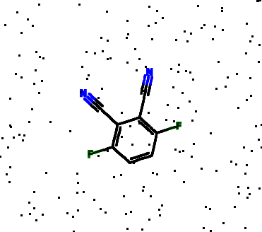 N#Cc1c(F)ccc(F)c1C#N